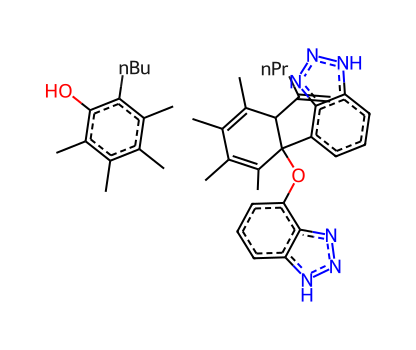 C=C(CCC)C1C(C)=C(C)C(C)=C(C)C1(Oc1cccc2[nH]nnc12)c1cccc2[nH]nnc12.CCCCc1c(C)c(C)c(C)c(C)c1O